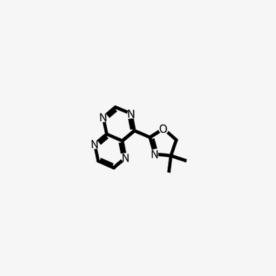 CC1(C)COC(c2ncnc3nccnc23)=N1